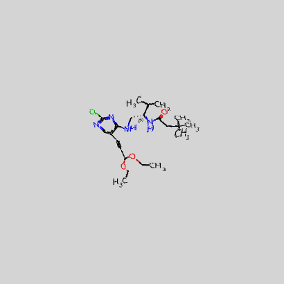 CCOC(C#Cc1cnc(Cl)nc1NC[C@@H](NC(=O)CC(C)(C)C)C(C)C)OCC